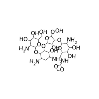 NC1CC(N)C(OC2OC(CO)C(O)C(O)C2N)C(OC2OC(OO)C(OC3OC(CNC4OCO4)C(O)C(O)C3N)C2O)C1O